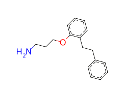 NCCCOc1ccccc1CCc1ccccc1